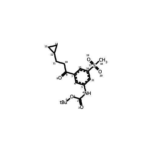 CC(C)(C)OC(=O)Nc1cc(C(=O)CCC2CC2)cc(S(C)(=O)=O)c1